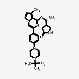 Cc1cnn2cc(-c3ccc(N4CCN(C(C)(C)C)CC4)cc3)nc(O[C@H](C)C3CNC(=O)C3)c12